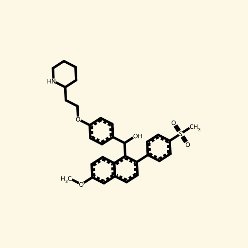 COc1ccc2c(C(O)c3ccc(OCCC4CCCCN4)cc3)c(-c3ccc(S(C)(=O)=O)cc3)ccc2c1